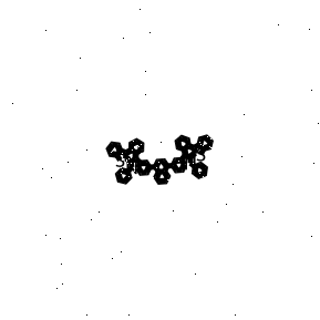 c1ccc(-n2c3ccc(-c4ccc(-c5ccc6c(c5)c5c7ccccc7c7c8ccccc8sc7c5n6-c5ccccc5)c5ccccc45)cc3c3c4ccccc4c4c5ccccc5sc4c32)cc1